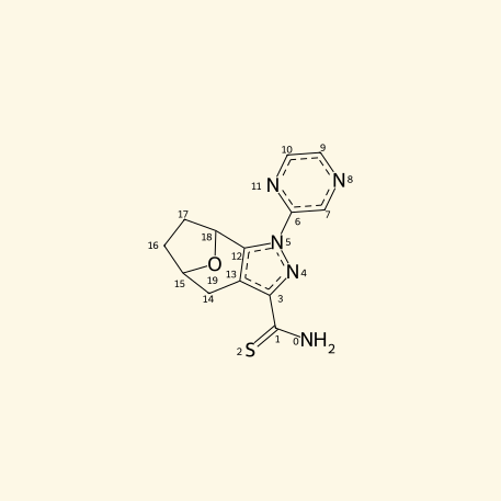 NC(=S)c1nn(-c2cnccn2)c2c1CC1CCC2O1